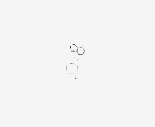 CC1CN(C(=O)OC(C)(C)C)CCCCN1S(=O)(=O)c1cccc2cncc(F)c12